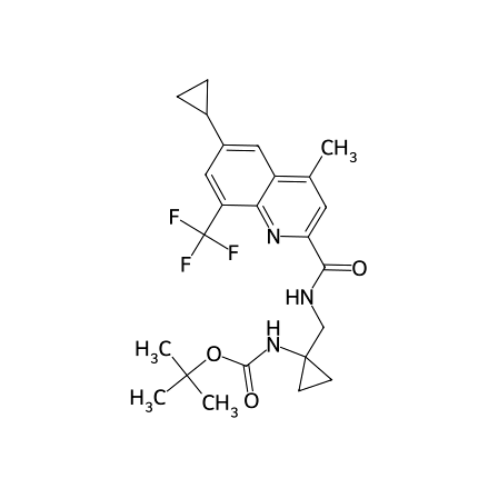 Cc1cc(C(=O)NCC2(NC(=O)OC(C)(C)C)CC2)nc2c(C(F)(F)F)cc(C3CC3)cc12